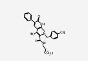 N#Cc1ccc(CN2Cc3[nH]c(=O)c(-c4ccccc4)cc3C(O)=C2C(=O)NCCC(=O)O)cc1